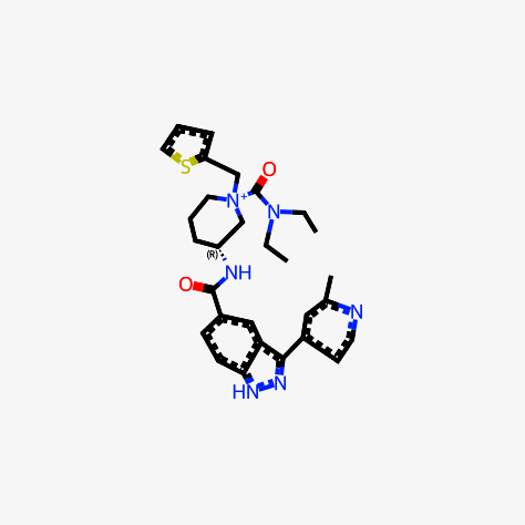 CCN(CC)C(=O)[N+]1(Cc2cccs2)CCC[C@@H](NC(=O)c2ccc3[nH]nc(-c4ccnc(C)c4)c3c2)C1